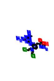 CNc1nc(N)nc(N)n1.NC(Cc1ccc(N(CCCl)CCCl)cc1)C(=O)O